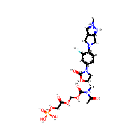 CC(=O)N(C[C@H]1CN(c2ccc(N3Cc4cn(C)nc4C3)c(F)c2)C(=O)O1)C(=O)OCOC(=O)COP(=O)(O)O